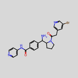 NC(c1ccc(C(=O)Nc2ccncc2)cc1)C1CCCN1C(=O)Cc1cncc(Br)c1